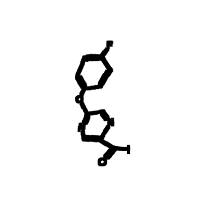 O=C(I)c1cnc(Oc2ccc(F)cc2)cn1